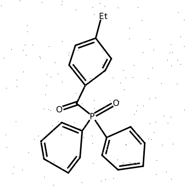 CCc1ccc(C(=O)P(=O)(c2ccccc2)c2ccccc2)cc1